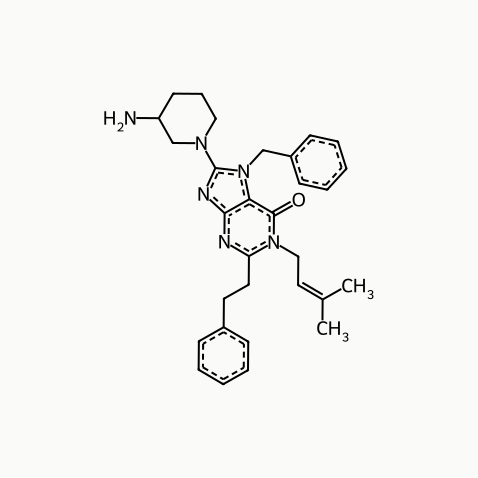 CC(C)=CCn1c(CCc2ccccc2)nc2nc(N3CCCC(N)C3)n(Cc3ccccc3)c2c1=O